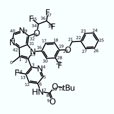 Cc1c(-c2ncc(NC(=O)OC(C)(C)C)cc2F)n(-c2ccc(OCc3ccccc3)c(F)c2)c2c(OC(F)C(F)F)ncnc12